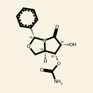 NC(=O)O[C@@H]1[C@H]2CO[C@H](c3ccccc3)N2C(=O)[C@@H]1O